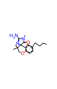 CCCCc1ccc2c(c1)C1(N=C(N)N(C)C1=O)C(C)(C)CO2